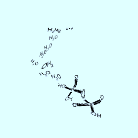 O.O.O.O.O.O.O.O=P(O)(O)OS(=O)(=O)O.[KH].[MgH2]